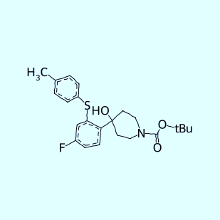 Cc1ccc(Sc2cc(F)ccc2C2(O)CCN(C(=O)OC(C)(C)C)CC2)cc1